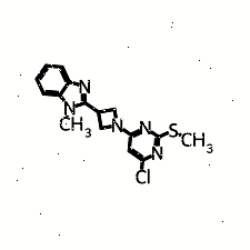 CSc1nc(Cl)cc(N2CC(c3nc4ccccc4n3C)C2)n1